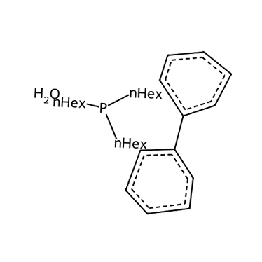 CCCCCCP(CCCCCC)CCCCCC.O.c1ccc(-c2ccccc2)cc1